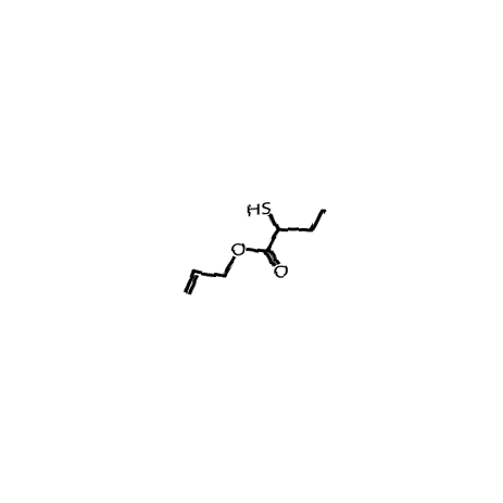 C=CCOC(=O)C(S)CC